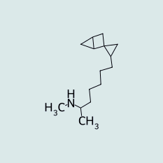 CNC(C)CCCCCC1CC12CC1CC12